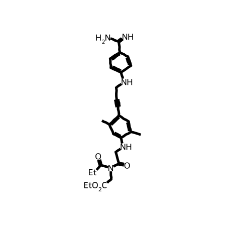 CCOC(=O)CN(C(=O)CC)C(=O)CNc1cc(C)c(C#CCNc2ccc(C(=N)N)cc2)cc1C